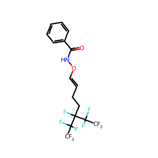 O=C(NOC=CCCC(F)(C(F)(F)C(F)(F)F)C(F)(F)C(F)(F)F)c1ccccc1